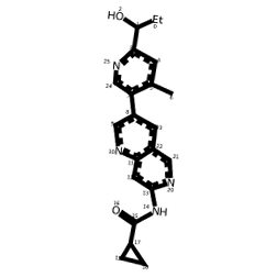 CCC(O)c1cc(C)c(-c2cnc3cc(NC(=O)C4CC4)ncc3c2)cn1